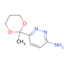 CC1(c2ccc(N)nn2)OCCCO1